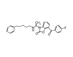 C=C(NCCCCCc1ccccc1)n1c(=O)oc2c(C(=O)c3ccc(F)cc3)cccc21